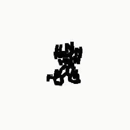 C[C@@H](Nc1ncnc(N)c1C#N)c1cnc2c(F)cccc2c1-c1ccccn1